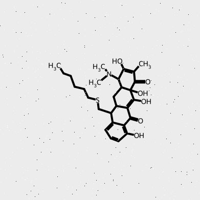 CCCCCCSCC1c2cccc(O)c2C(=O)C2=C(O)C3(O)C(=O)C(C)=C(O)C(N(C)C)C3CC21